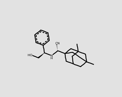 CC12CC3CC(C)(C1)CC([C@@H](C#N)N[C@@H](CO)c1ccccc1)(C3)C2